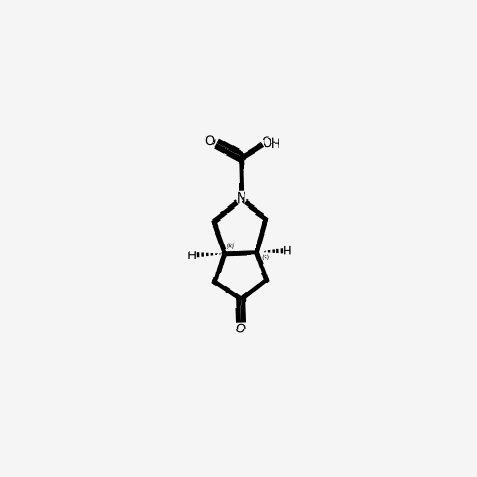 O=C1C[C@@H]2CN(C(=O)O)C[C@@H]2C1